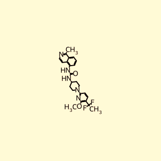 COc1nc(N2CCC(NC(=O)Nc3cccc4c(C)nccc34)CC2)ccc1C(C)(F)F